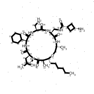 CCCCCC[C@H]1OC[C@@H](C)NC(=O)[C@H](CNC(=O)[C@H]2C[C@@H](N)C2)NC(=O)[C@H](CN)NC(=O)[C@H](C2CCCCC2)NC(=O)[C@H](CC(C)C)N(C)C(=O)[C@@H]1C